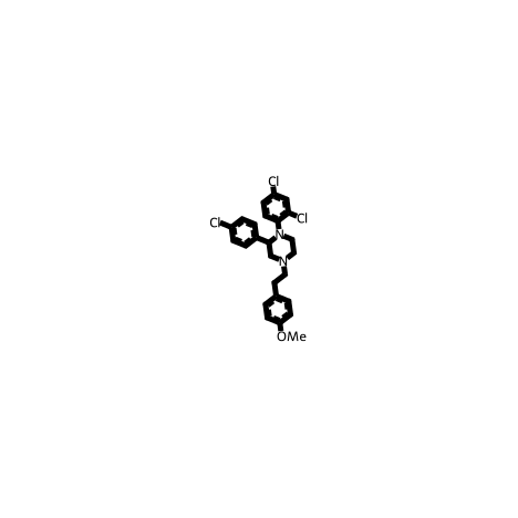 COc1ccc(CCN2CCN(c3ccc(Cl)cc3Cl)C(c3ccc(Cl)cc3)C2)cc1